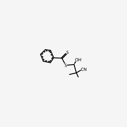 CC(C)(C#N)[C@H](O)SC(=S)c1ccccc1